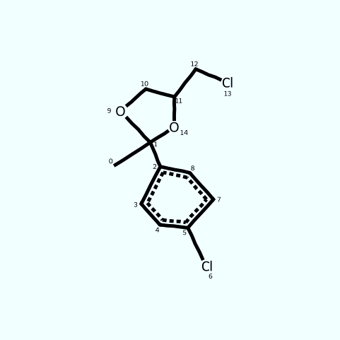 CC1(c2ccc(Cl)cc2)OCC(CCl)O1